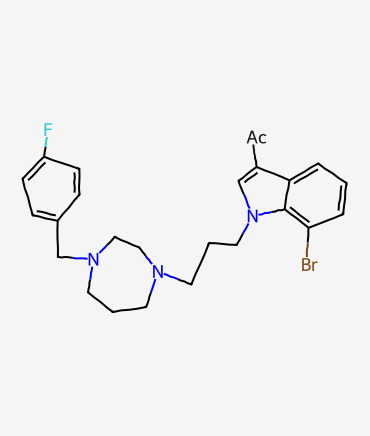 CC(=O)c1cn(CCCN2CCCN(Cc3ccc(F)cc3)CC2)c2c(Br)cccc12